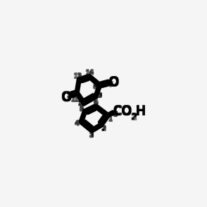 O=C(O)c1ccccc1.O=C1C=CC(=O)C=C1